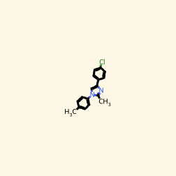 Cc1ccc(-n2cc(-c3ccc(Cl)cc3)nc2C)cc1